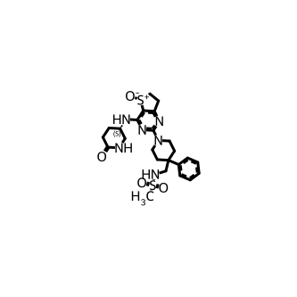 CS(=O)(=O)NCC1(c2ccccc2)CCN(c2nc3c(c(N[C@H]4CCC(=O)NC4)n2)[S+]([O-])CC3)CC1